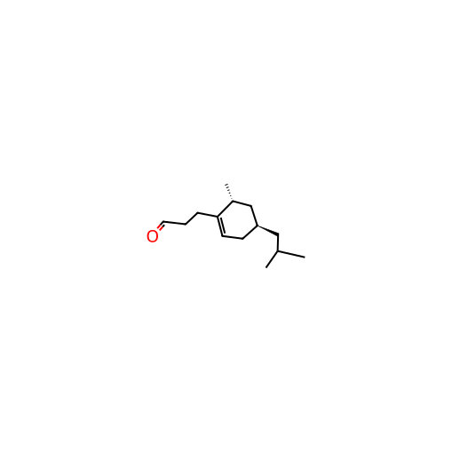 CC(C)C[C@H]1CC=C(CCC=O)[C@H](C)C1